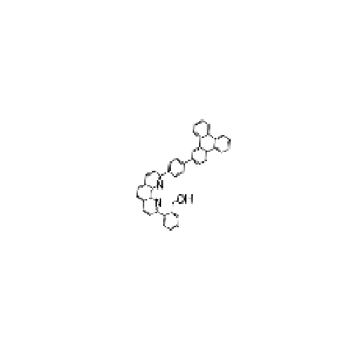 OCc1ccccc1-c1ccc2ccc3ccc(-c4ccc(-c5ccc6c7ccccc7c7ccccc7c6c5)cc4)nc3c2n1